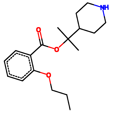 CCCOc1ccccc1C(=O)OC(C)(C)C1CCNCC1